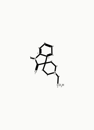 CN1C(=O)C2(CCN(CC(=O)O)CC2)c2ccccc21